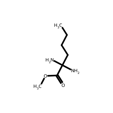 CCCCC(N)(N)C(=O)OC